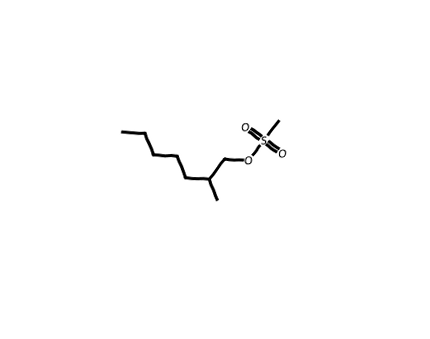 CCCCCC(C)COS(C)(=O)=O